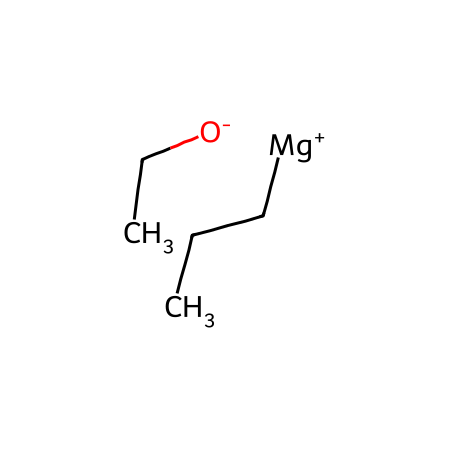 CC[CH2][Mg+].CC[O-]